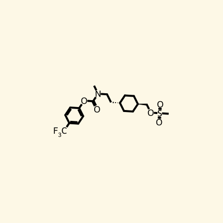 CN(CC[C@H]1CC[C@H](COS(C)(=O)=O)CC1)C(=O)Oc1ccc(C(F)(F)F)cc1